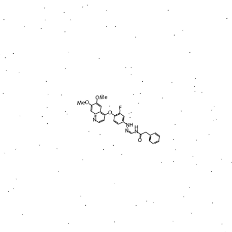 COc1cc2nccc(Oc3ccc(N/N=C\NC(=O)Cc4ccccc4)cc3F)c2cc1OC